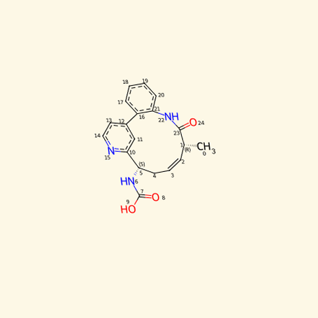 C[C@@H]1C=CC[C@H](NC(=O)O)c2cc(ccn2)-c2ccccc2NC1=O